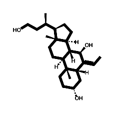 CC=C1[C@H](O)[C@@H]2[C@H](CC[C@]3(C)[C@@H]([C@H](C)CCO)CC[C@@H]23)[C@@]2(C)CC[C@@H](O)C[C@@H]12